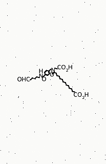 O=CCCCCCNC(=O)c1ccc(CN(CCC(=O)O)C(=O)CCCCCCCCCCCCCC(=O)O)cc1